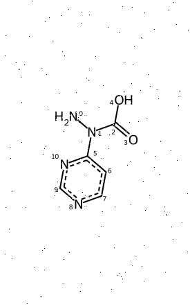 NN(C(=O)O)c1ccncn1